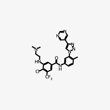 Cc1ccc(NC(=O)c2cc(NCCN(C)C)c(Cl)c(C(F)(F)F)c2)cc1-n1cc(-c2cncnc2)nn1